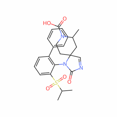 CC1CC2(C=NC(=O)N2c2c(-c3ccccc3)cccc2S(=O)(=O)C(C)C)CCN1C(=O)O